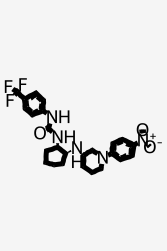 O=C(Nc1ccc(C(F)(F)F)cc1)N[C@@H]1CCCC[C@H]1NC1CCCN(c2ccc([N+](=O)[O-])cc2)C1